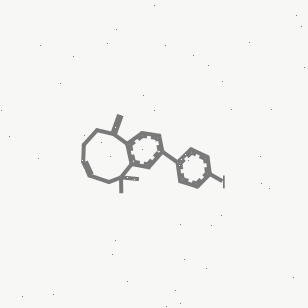 C=C1CC/C=C\CC(C)(C)c2cc(-c3ccc(I)cc3)ccc21